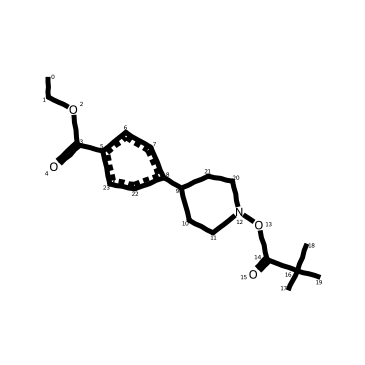 CCOC(=O)c1ccc(C2CCN(OC(=O)C(C)(C)C)CC2)cc1